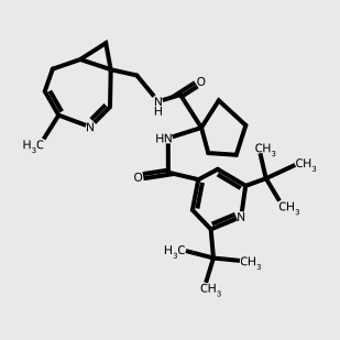 CC1=CCC2CC2(CNC(=O)C2(NC(=O)c3cc(C(C)(C)C)nc(C(C)(C)C)c3)CCCC2)C=N1